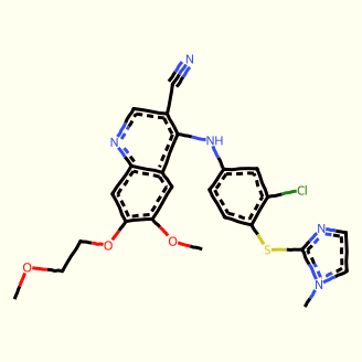 COCCOc1cc2ncc(C#N)c(Nc3ccc(Sc4nccn4C)c(Cl)c3)c2cc1OC